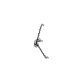 CC(C)CCCCCCCCCCCCC(=O)O[C@H]1[C@@H]([C@@H](CO)OC(=O)CCCCCCCCCCCCC(C)C)OC[C@@H]1O